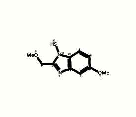 COCc1nc2cc(OC)ccc2n1S